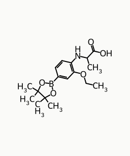 CCOc1cc(B2OC(C)(C)C(C)(C)O2)ccc1NC(C)C(=O)O